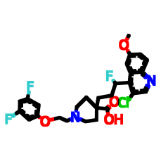 COc1ccc2ncc(Cl)c(C(F)CCC3(C(=O)O)CCN(CCOc4cc(F)cc(F)c4)CC3)c2c1